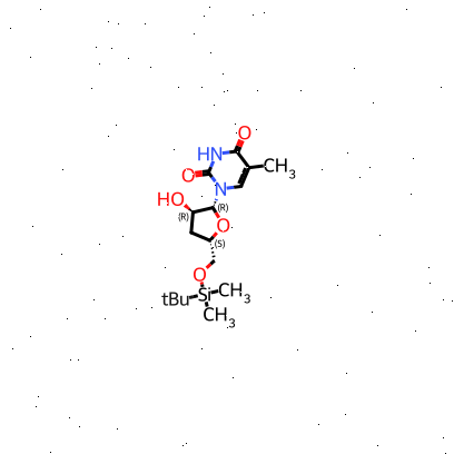 Cc1cn([C@@H]2O[C@H](CO[Si](C)(C)C(C)(C)C)C[C@H]2O)c(=O)[nH]c1=O